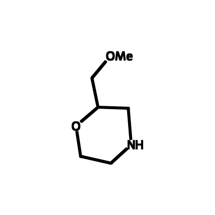 [CH2-][OH+]CC1CNCCO1